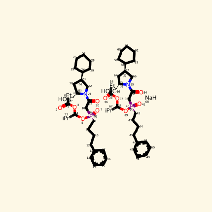 CCC(=O)OC(O[P@](=O)(CCCCc1ccccc1)CC(=O)N1C[C@H](C2CCCCC2)C[C@H]1C(=O)O)C(C)C.CCC(=O)OC(O[P@](=O)(CCCCc1ccccc1)CC(=O)N1C[C@H](C2CCCCC2)C[C@H]1C(=O)O)C(C)C.[NaH]